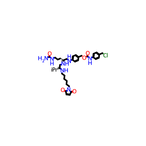 CC(C)[C@H](CN[C@H](CCCNC(N)=O)CNc1ccc(COC(=O)Nc2ccc(CCl)cc2)cc1)NCCCCCCN1C(=O)C=CC1=O